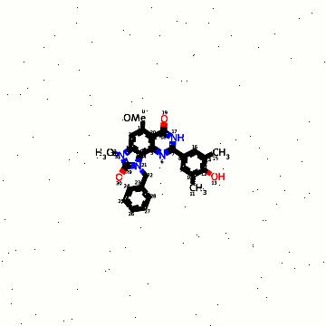 COc1cc2c(c3nc(-c4cc(C)c(O)c(C)c4)[nH]c(=O)c13)n(Cc1ccccc1)c(=O)n2C